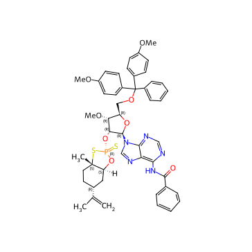 C=C(C)[C@@H]1CC[C@]2(C)S[P@](=S)(O[C@@H]3[C@H](OC)[C@@H](COC(c4ccccc4)(c4ccc(OC)cc4)c4ccc(OC)cc4)O[C@H]3n3cnc4c(NC(=O)c5ccccc5)ncnc43)O[C@H]2C1